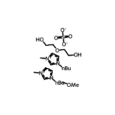 CCCCn1cc[n+](C)c1.CCCCn1cc[n+](C)c1.COC.O=S(=O)([O-])[O-].OCCOCCO